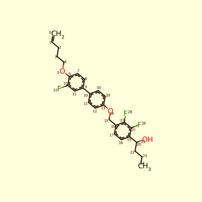 C=CCCCOc1ccc(-c2ccc(OCc3ccc(C(O)CCC)c(F)c3F)cc2)cc1F